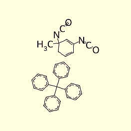 CC1(N=C=O)C=C(N=C=O)C=CC1.c1ccc(C(c2ccccc2)(c2ccccc2)c2ccccc2)cc1